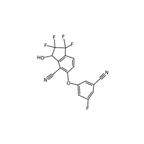 N#Cc1cc(F)cc(Oc2ccc3c(c2C#N)C(O)C(F)(F)C3(F)F)c1